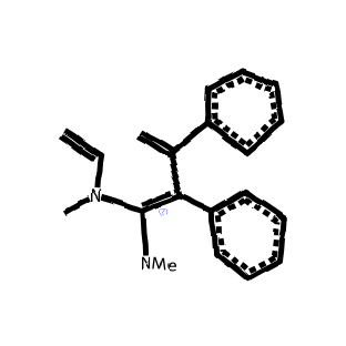 C=CN(C)/C(NC)=C(\C(=C)c1ccccc1)c1ccccc1